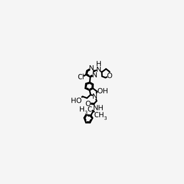 CC(C)(NC(=O)CN1C(O)c2cc(-c3nc(NC4CCOCC4)ncc3Cl)ccc2C1CCO)c1ccccc1